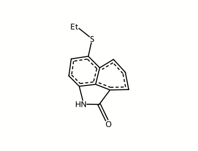 CCSc1ccc2c3c(cccc13)C(=O)N2